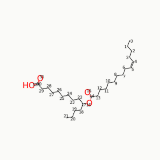 CCCC/C=C\CCCCCCCCC(=O)OC(CCCC)CCCCCCCCC(=O)O